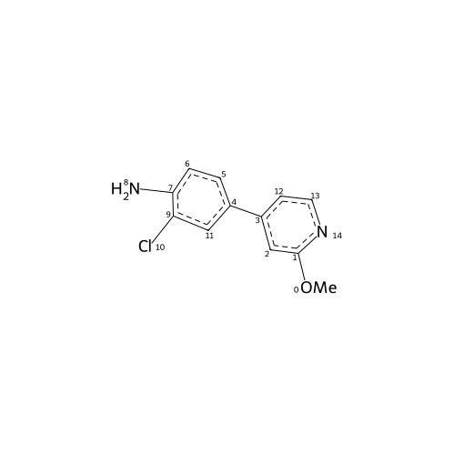 COc1cc(-c2ccc(N)c(Cl)c2)ccn1